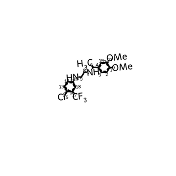 COc1ccc(C(C)NCCNc2ccc(Cl)c(C(F)(F)F)c2)cc1OC